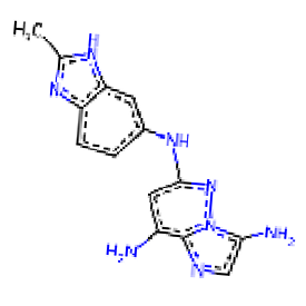 Cc1nc2ccc(Nc3cc(N)c4ncc(N)n4n3)cc2[nH]1